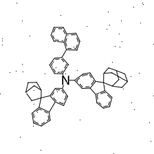 c1cc(-c2cccc3ccccc23)cc(N(c2ccc3c(c2)-c2ccccc2C32C3CC4CC(C3)CC2C4)c2ccc3c(c2)C2(CC4CCC2C4)c2ccccc2-3)c1